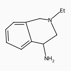 CCN1Cc2ccccc2C(N)C1